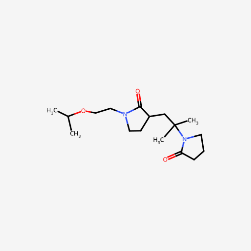 CC(C)OCCN1CCC(CC(C)(C)N2CCCC2=O)C1=O